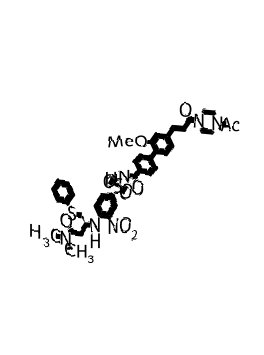 COc1cc(CCC(=O)N2CCN(C(C)=O)CC2)ccc1-c1ccc(C(=O)NS(=O)(=O)c2ccc(N[C@@H](CSc3ccccc3)CC(=O)N(C)C)c([N+](=O)[O-])c2)cc1